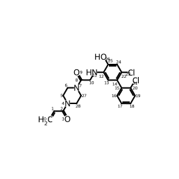 C=CC(=O)N1CCN(C(=O)CNc2cc(-c3ccccc3Cl)c(Cl)cc2O)CC1